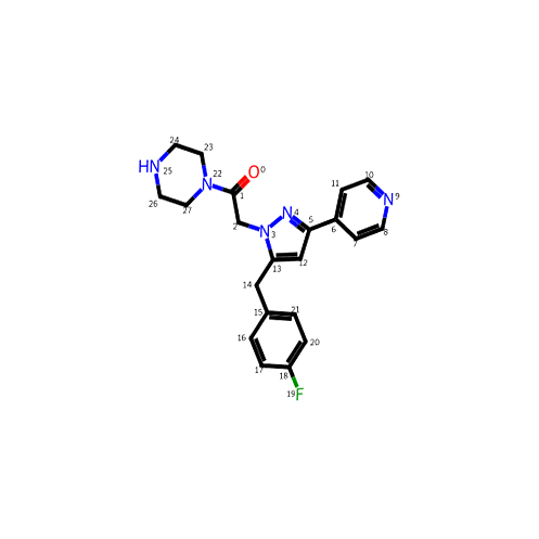 O=C(Cn1nc(-c2ccncc2)cc1Cc1ccc(F)cc1)N1CCNCC1